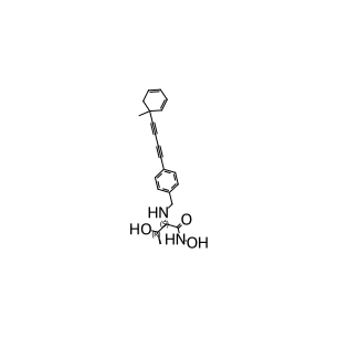 C[C@@H](O)[C@H](NCc1ccc(C#CC#CC2(C)C=CC=CC2)cc1)C(=O)NO